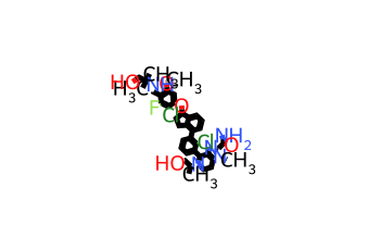 COc1cc(OC2CCc3c(-c4cccc(C5c6nc(C(N)=O)n(C)c6CCN5C(C)CO)c4Cl)cccc32)c(Cl)c(F)c1CNC(C)(C)CO